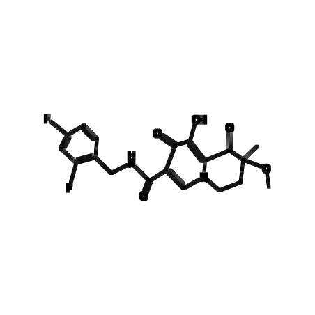 COC1(C)CCn2cc(C(=O)NCc3ccc(F)cc3F)c(=O)c(O)c2C1=O